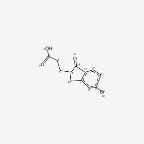 O=C(O)CCC1Cc2cc(Br)ccc2C1=O